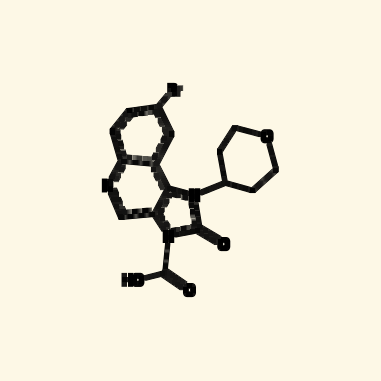 O=C(O)n1c(=O)n(C2CCOCC2)c2c3cc(Br)ccc3ncc21